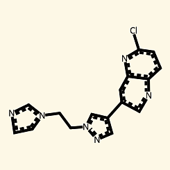 Clc1ccc2ncc(-c3cnn(CCn4ccnc4)c3)cc2n1